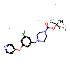 CC(C)(C)OC(=O)N1CCN(Cc2cc(Cl)cc(Oc3ccncc3)c2)CC1